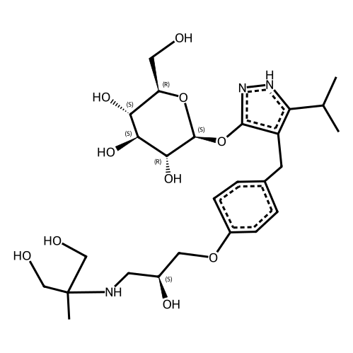 CC(C)c1[nH]nc(O[C@@H]2O[C@H](CO)[C@@H](O)[C@H](O)[C@H]2O)c1Cc1ccc(OC[C@@H](O)CNC(C)(CO)CO)cc1